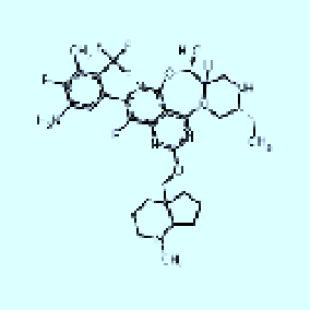 CC[C@@H]1CN2c3nc(OCC45CCCC4N(C)CCC5)nc4c(F)c(-c5cc(N)c(F)c(C)c5C(F)(F)F)nc(c34)O[C@@H](C)[C@@H]2CN1